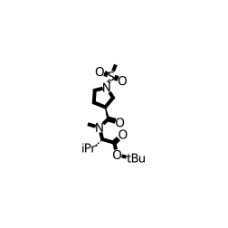 CC(C)[C@@H](C(=O)OC(C)(C)C)N(C)C(=O)[C@H]1CCN(S(C)(=O)=O)C1